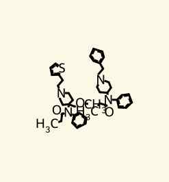 CCC(=O)N(c1ccccc1)C1(COC)CCN(CCc2cccs2)CC1.CCC(=O)N(c1ccccc1)C1CCN(CCc2ccccc2)CC1